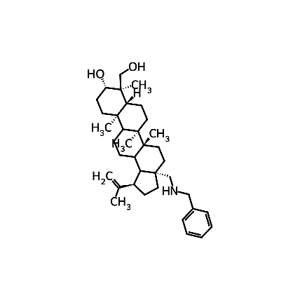 C=C(C)[C@@H]1CC[C@]2(CNCc3ccccc3)CC[C@]3(C)C(CCC4[C@@]5(C)CC[C@H](O)[C@@](C)(CO)[C@@H]5CC[C@]43C)C12